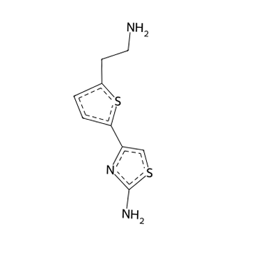 NCCc1ccc(-c2csc(N)n2)s1